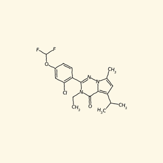 CCn1c(-c2ccc(OC(F)F)cc2Cl)nn2c(C)cc(C(C)C)c2c1=O